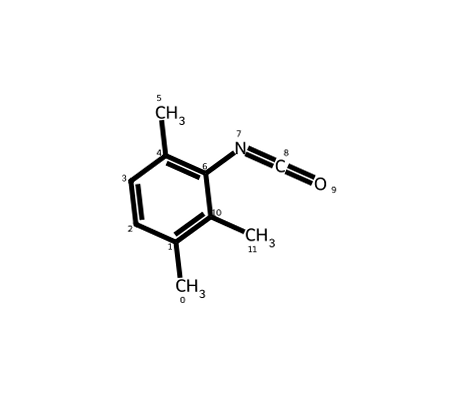 Cc1ccc(C)c(N=C=O)c1C